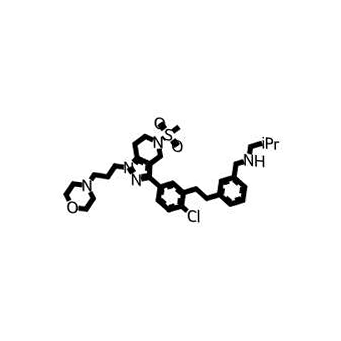 CC(C)CNCc1cccc(CCc2cc(-c3nn(CCCN4CCOCC4)c4c3CN(S(C)(=O)=O)CC4)ccc2Cl)c1